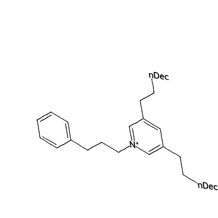 CCCCCCCCCCCCc1cc(CCCCCCCCCCCC)c[n+](CCCc2ccccc2)c1